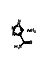 NC(=O)c1c[nH]nn1.[AsH3]